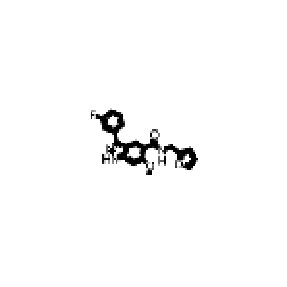 COc1cc2[nH]nc(-c3cccc(F)c3)c2cc1C(=O)NCc1ccco1